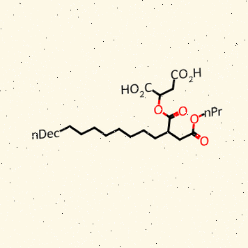 CCCCCCCCCCCCCCCCCCC(CC(=O)OCCC)C(=O)OC(CC(=O)O)C(=O)O